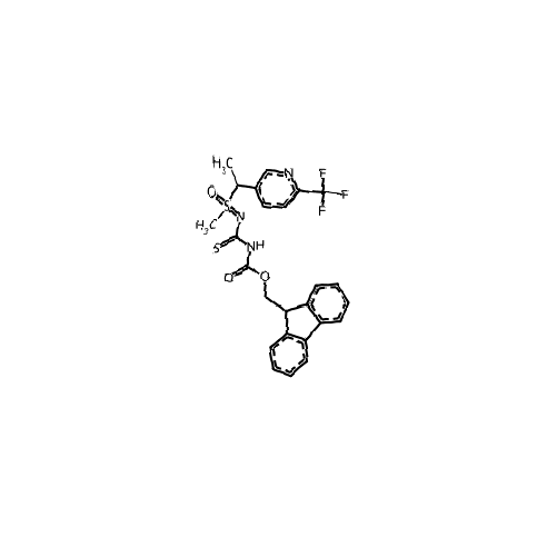 CC(c1ccc(C(F)(F)F)nc1)S(C)(=O)=NC(=S)NC(=O)OCC1c2ccccc2-c2ccccc21